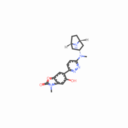 CN(c1ccc(-c2cc3oc(=O)n(C)c3cc2O)nn1)[C@H]1C[C@H]2CC[C@@H](C1)N2